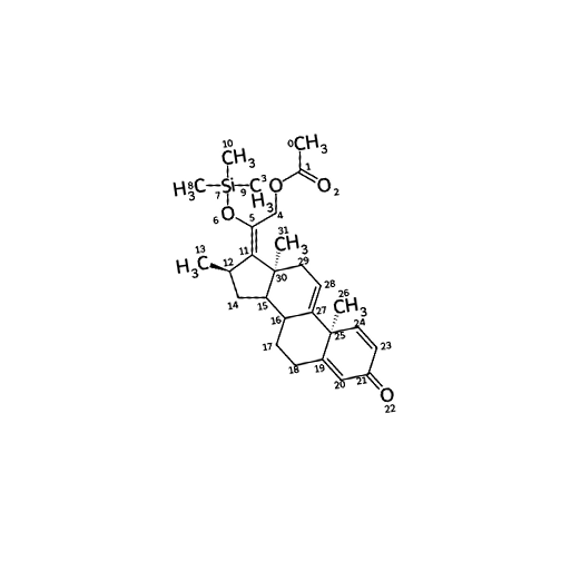 CC(=O)OC/C(O[Si](C)(C)C)=C1/[C@H](C)CC2C3CCC4=CC(=O)C=C[C@]4(C)C3=CC[C@]12C